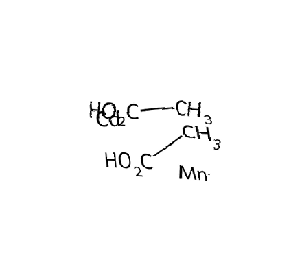 CC(=O)O.CC(=O)O.[Cd].[Mn]